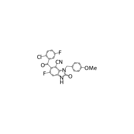 COc1ccc(Cn2c(=O)[nH]c3cc(F)c(C(=O)c4cc(F)ccc4Cl)c(C#N)c32)cc1